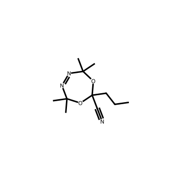 CCCC1(C#N)OC(C)(C)N=NC(C)(C)O1